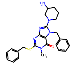 Cn1c(SCc2ccccc2)nc2nc(N3CCCC(N)C3)n(Cc3ccccc3)c2c1=O